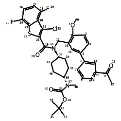 COc1ccc(-c2ccnc(C(C)=O)c2)cc1CN(C(=O)c1sc2c(F)ccc(F)c2c1Cl)[C@H]1CC[C@H](N(C)C(=O)OC(C)(C)C)CC1